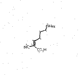 CCCCCCCCCC=C(C#N)C(=O)O